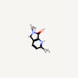 Cc1ccc2c(n1)C(=O)N(C(C)(C)C)C2